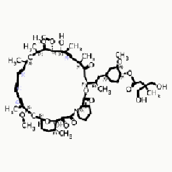 CO[C@H]1C[C@@H]2CC[C@@H](C)[C@@](O)(O2)C(=O)C(=O)N2CCCC[C@H]2C(=O)O[C@H]([C@H](C)C[C@@H]2CC[C@@H](OC(=O)CC(C)(CO)CO)[C@H](OC)C2)CC(=O)[C@H](C)/C=C(\C)[C@@H](O)[C@@H](OC)C(=O)[C@H](C)C[C@H](C)/C=C/C=C/C=C/1C